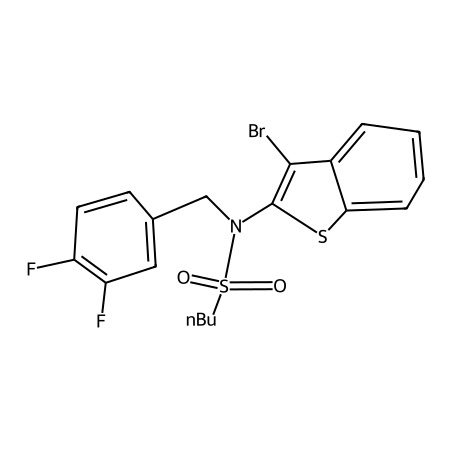 CCCCS(=O)(=O)N(Cc1ccc(F)c(F)c1)c1sc2ccccc2c1Br